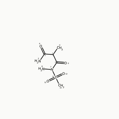 C[C](C(N)=O)C(=O)N(N)S(C)(=O)=O